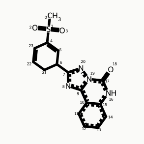 CS(=O)(=O)C1=CC(c2nc3c4ccccc4[nH]c(=O)n3n2)CC=C1